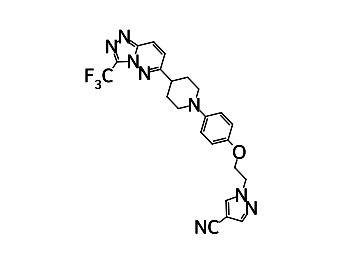 N#Cc1cnn(CCOc2ccc(N3CCC(c4ccc5nnc(C(F)(F)F)n5n4)CC3)cc2)c1